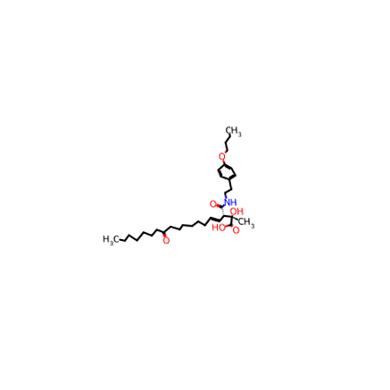 CCCCCCCC(=O)CCCCCC/C=C/[C@H](C(=O)NCCc1ccc(OCCCC)cc1)[C@](C)(O)C(=O)O